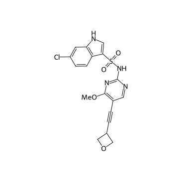 COc1nc(NS(=O)(=O)c2c[nH]c3cc(Cl)ccc23)ncc1C#CC1COC1